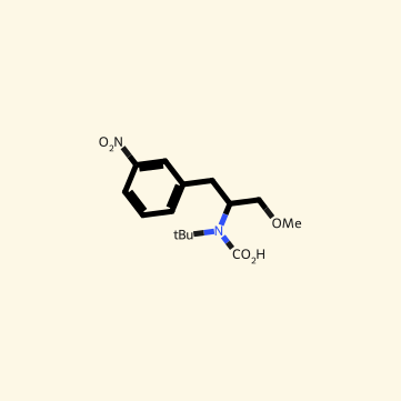 COCC(Cc1cccc([N+](=O)[O-])c1)N(C(=O)O)C(C)(C)C